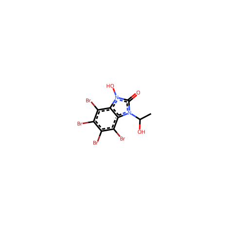 CC(O)n1c(=O)n(O)c2c(Br)c(Br)c(Br)c(Br)c21